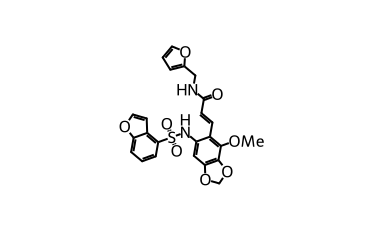 COc1c(/C=C/C(=O)NCc2ccco2)c(NS(=O)(=O)c2cccc3occc23)cc2c1OCO2